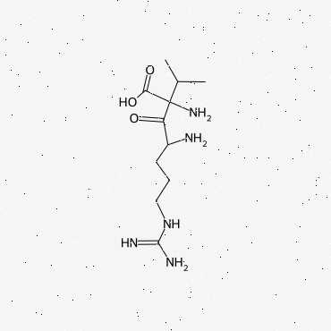 CC(C)C(N)(C(=O)O)C(=O)C(N)CCCNC(=N)N